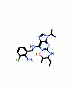 CCC(Nc1nc(NCc2cccc(Cl)c2N)c2ncn(C(C)C)c2n1)C(C)O